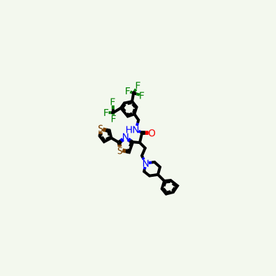 O=C(NCc1cc(C(F)(F)F)cc(C(F)(F)F)c1)C(CCN1CCC(c2ccccc2)CC1)c1csc(-c2ccsc2)n1